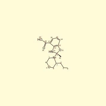 CCCC1COCCN1[C@]1(C)Nc2c(cccc2C(=O)O)O1